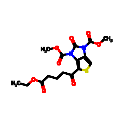 CCOC(=O)CCCC(=O)c1scc2c1n(C(=O)OC)c(=O)n2C(=O)OC